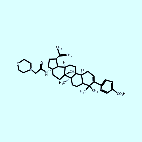 C=C(C)[C@@H]1CC[C@]2(NC(=O)CN3CCSCC3)CC[C@]3(C)[C@H](CCC4[C@@]5(C)CC=C(c6ccc(C(=O)O)cc6)C(C)(C)C5CC[C@]43C)C12